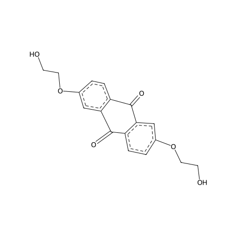 O=C1c2ccc(OCCO)cc2C(=O)c2ccc(OCCO)cc21